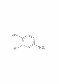 CCCc1ccc([N+](=O)[O-])cc1[C](C)C